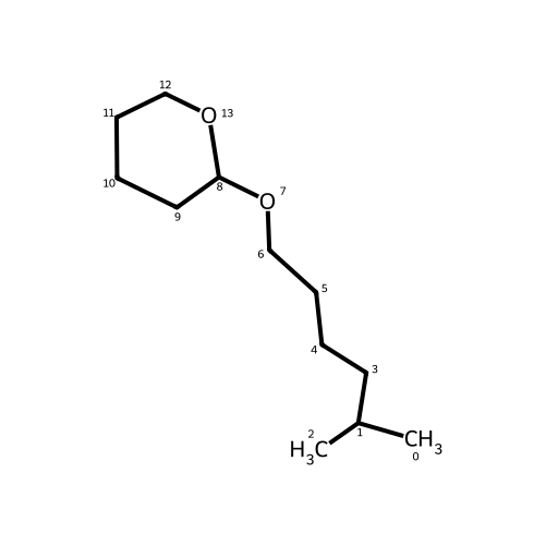 CC(C)CCCCOC1CCCCO1